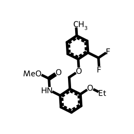 CCOc1cccc(NC(=O)OC)c1COc1ccc(C)cc1C(F)F